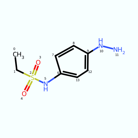 CCS(=O)(=O)Nc1ccc(NN)cc1